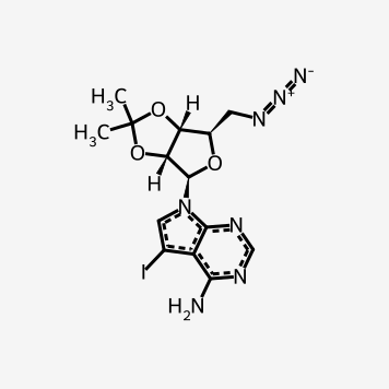 CC1(C)O[C@@H]2[C@H](O1)[C@@H](CN=[N+]=[N-])O[C@H]2n1cc(I)c2c(N)ncnc21